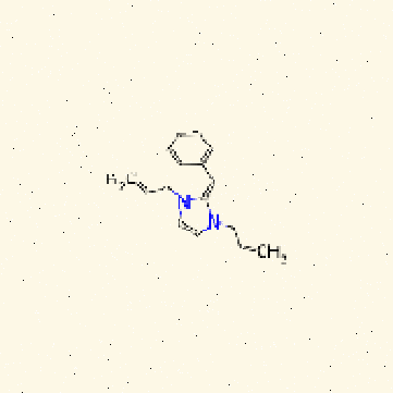 C=CCN1C=CN(CC=C)C1=Cc1ccccc1